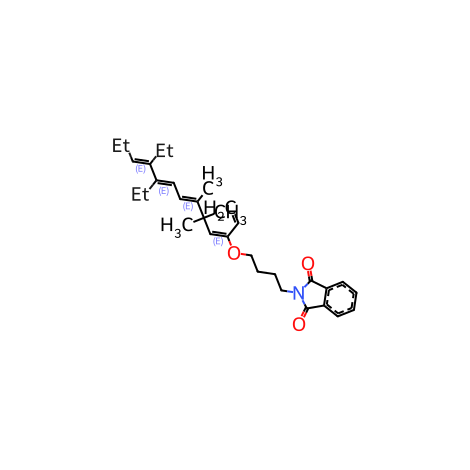 C=C/C(=C\C(C)(C)/C(C)=C/C=C(CC)/C(=C/CC)CC)OCCCCN1C(=O)c2ccccc2C1=O